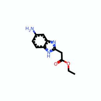 CCOC(=O)Cc1nc2cc(N)ccc2[nH]1